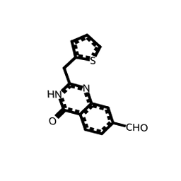 O=Cc1ccc2c(=O)[nH]c(Cc3cccs3)nc2c1